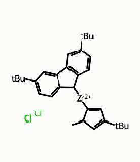 CC1C=C(C(C)(C)C)C=[C]1[Zr+2][CH]1c2ccc(C(C)(C)C)cc2-c2cc(C(C)(C)C)ccc21.[Cl-].[Cl-]